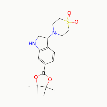 CC1(C)OB(c2ccc3c(c2)NCC3N2CCS(=O)(=O)CC2)OC1(C)C